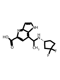 CC(N[C@@H]1CCC(F)(F)C1)c1cc(C(=O)O)nc2cc[nH]c12